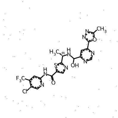 Cc1nnc(-c2cc(C(O)N[C@H](C)c3ncc(C(=O)Nc4cc(C(F)(F)F)c(Cl)cn4)s3)ncn2)o1